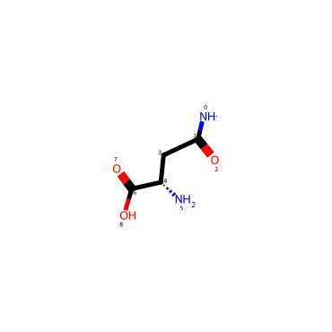 [NH]C(=O)C[C@H](N)C(=O)O